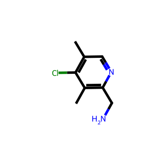 Cc1cnc(CN)c(C)c1Cl